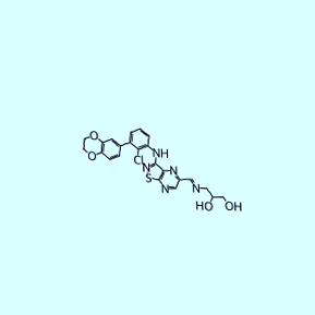 OCC(O)CN=Cc1cnc2snc(Nc3cccc(-c4ccc5c(c4)OCCO5)c3Cl)c2n1